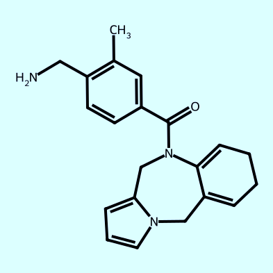 Cc1cc(C(=O)N2Cc3cccn3CC3=CCCC=C32)ccc1CN